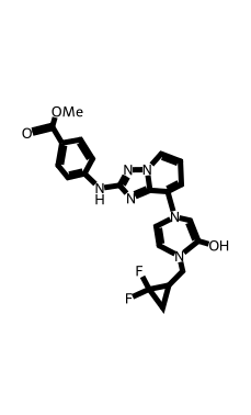 COC(=O)c1ccc(Nc2nc3c(N4C=CN(CC5CC5(F)F)C(O)=C4)cccn3n2)cc1